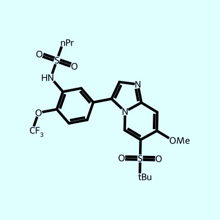 CCCS(=O)(=O)Nc1cc(-c2cnc3cc(OC)c(S(=O)(=O)C(C)(C)C)cn23)ccc1OC(F)(F)F